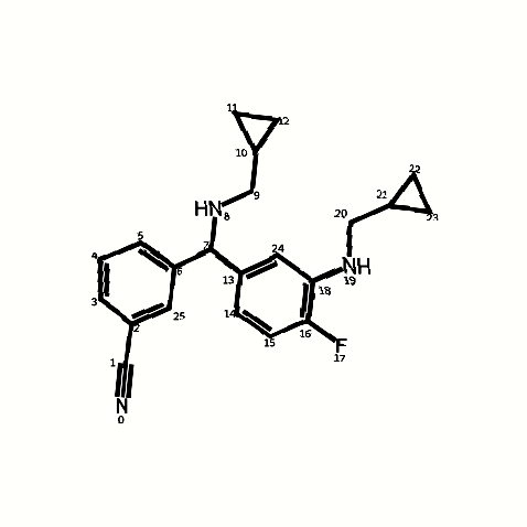 N#Cc1cccc(C(NCC2CC2)c2ccc(F)c(NCC3CC3)c2)c1